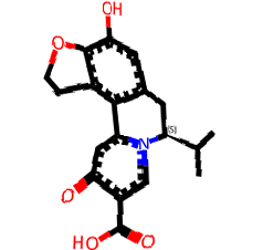 CC(C)[C@@H]1Cc2cc(O)c3c(c2-c2cc(=O)c(C(=O)O)cn21)CCO3